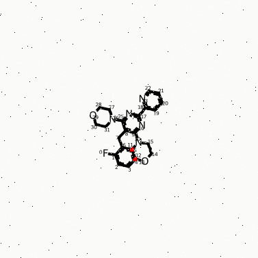 Fc1ccccc1Cc1c(N2CCOCC2)nc(-c2ccccn2)nc1N1CCOCC1